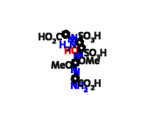 COc1cc(N=Nc2c(S(=O)(=O)O)cc3cc(S(=O)(=O)O)c(N=Nc4cccc(C(=O)O)c4)c(N)c3c2O)c(OC)cc1N=Nc1ccc(N)c(C(=O)O)c1